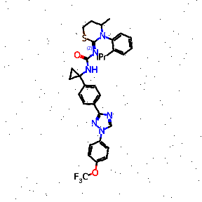 CC(C)c1ccccc1N1/C(=N/C(=O)NC2(c3ccc(-c4ncn(-c5ccc(OC(F)(F)F)cc5)n4)cc3)CC2)SCCC1C